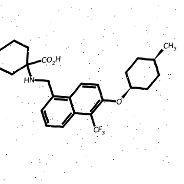 C[C@H]1CC[C@@H](Oc2ccc3c(CNC4(C(=O)O)CCCCC4)cccc3c2C(F)(F)F)CC1